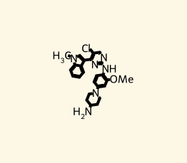 COc1cc(N2CCC(N)CC2)ccc1Nc1ncc(Cl)c(-c2cn(C)c3ccccc23)n1